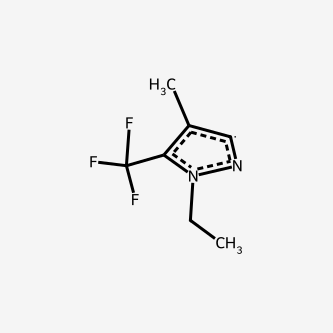 CCn1n[c]c(C)c1C(F)(F)F